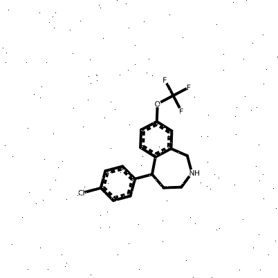 FC(F)(F)Oc1ccc2c(c1)CNCCC2c1ccc(Cl)cc1